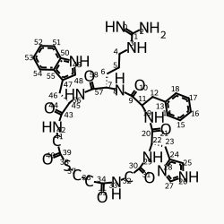 N=C(N)NCCC[C@@H]1NC(=O)C(Cc2ccccc2)NC(=O)[C@H](Cc2c[nH]cn2)NC(=O)CNC(=O)CCSC(=O)CNC(=O)[C@H](Cc2c[nH]c3ccccc23)NC1=O